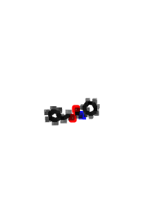 O=C([N]C1CCCCCC1)OCCc1ccccc1